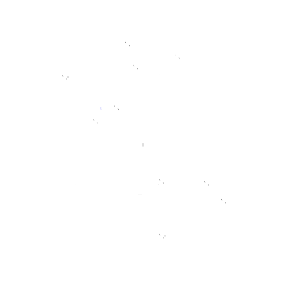 N#Cc1cn[nH]c1NC(=O)c1c(O)c(/N=N/C2C(C#N)C=NN2c2ccccn2)cc2ccccc12